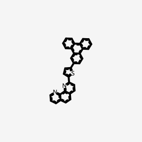 c1cnc2c(c1)ccc1ccc(-c3ccc(-c4ccc5c6ccccc6c6ccccc6c5c4)s3)nc12